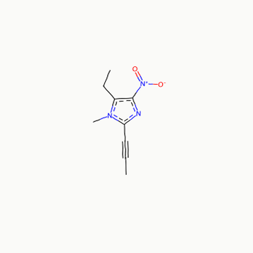 CC#Cc1nc([N+](=O)[O-])c(CC)n1C